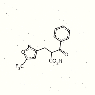 O=C(O)C(Cc1cc(C(F)(F)F)on1)C(=O)c1ccccc1